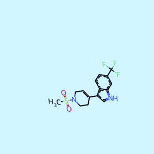 CS(=O)(=O)N1CC=C(c2c[nH]c3cc(C(F)(F)F)ccc23)CC1